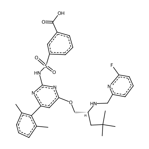 Cc1cccc(C)c1-c1cc(OC[C@@H](CC(C)(C)C)NCc2cccc(F)n2)nc(NS(=O)(=O)c2cccc(C(=O)O)c2)n1